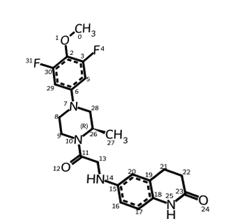 COc1c(F)cc(N2CCN(C(=O)CNc3ccc4c(c3)CCC(=O)N4)[C@H](C)C2)cc1F